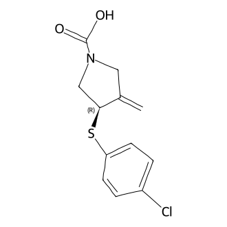 C=C1CN(C(=O)O)C[C@@H]1Sc1ccc(Cl)cc1